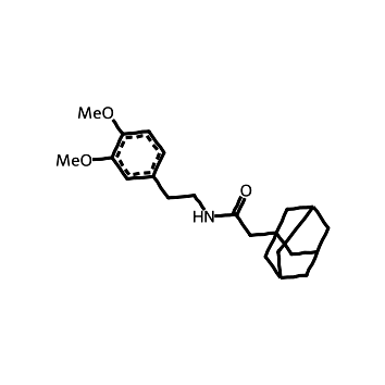 COc1ccc(CCNC(=O)CC23CC4CC(CC(C4)C2)C3)cc1OC